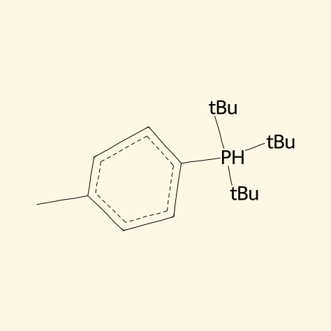 Cc1ccc([PH](C(C)(C)C)(C(C)(C)C)C(C)(C)C)cc1